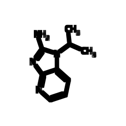 CC(C)n1c(N)nc2ncccc21